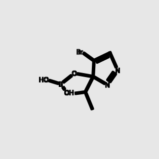 CC(C)C1(OB(O)O)N=NC=C1Br